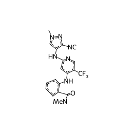 [C-]#[N+]c1nn(C)cc1Nc1cc(Nc2ccccc2C(=O)NC)c(C(F)(F)F)cn1